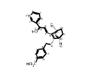 O=C(O)c1ccc(CC[C@@H]2[C@@H](/C=C/C(O)c3cccnc3)[C@H]3CC[C@@H]2O3)cc1